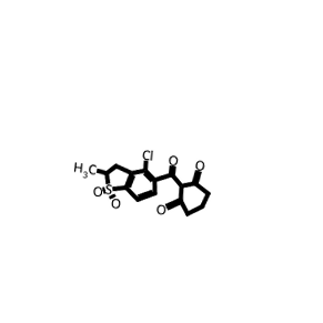 CC1Cc2c(ccc(C(=O)C3C(=O)CCCC3=O)c2Cl)S1(=O)=O